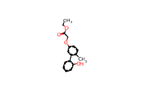 CCOC(=O)COc1ccc(C)c(-c2ccccc2O)c1